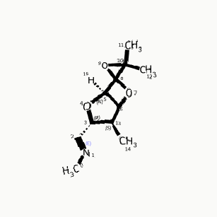 C/N=C/[C@@H]1O[C@@H]2C(OC23OC3(C)C)[C@H]1C